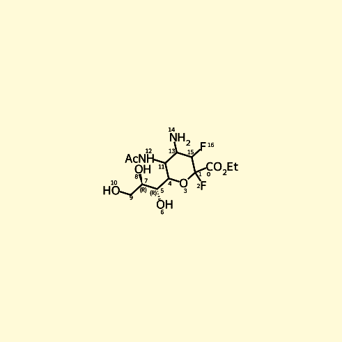 CCOC(=O)C1(F)OC([C@H](O)[C@H](O)CO)C(NC(C)=O)C(N)C1F